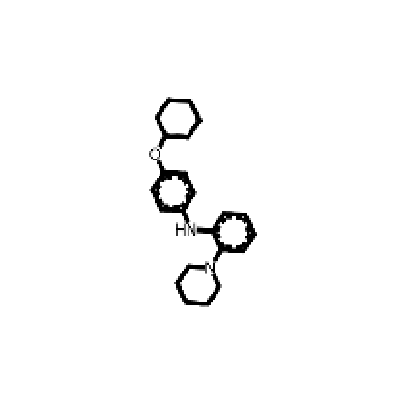 c1ccc(N2CCCCC2)c(Nc2ccc(OC3CCCCC3)cc2)c1